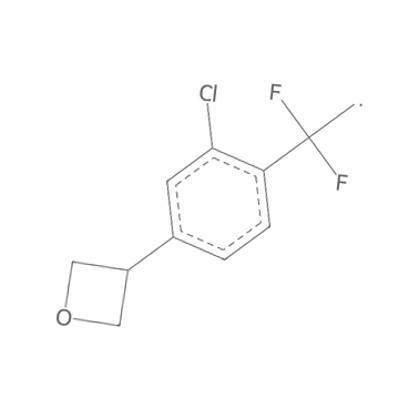 [CH2]C(F)(F)c1ccc(C2COC2)cc1Cl